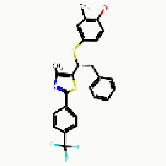 Cc1cc(S[C@H](Cc2ccccc2)c2sc(-c3ccc(C(F)(F)F)cc3)nc2C)ccc1O